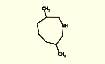 CC1CCCC(C)CNC1